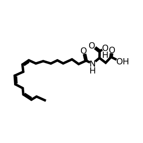 CC/C=C\C/C=C\C/C=C\CCCCCCCC(=O)NC(CC(=O)O)C(=O)O